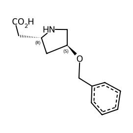 O=C(O)C[C@H]1C[C@H](OCc2ccccc2)CN1